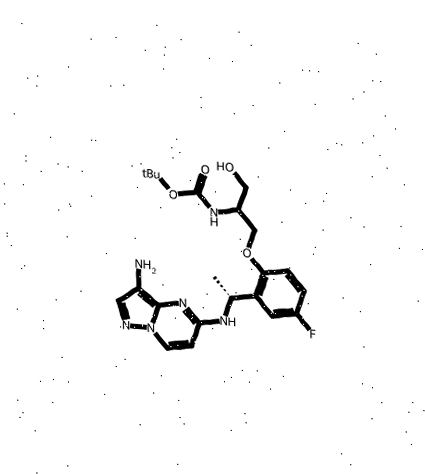 C[C@@H](Nc1ccn2ncc(N)c2n1)c1cc(F)ccc1OCC(CO)NC(=O)OC(C)(C)C